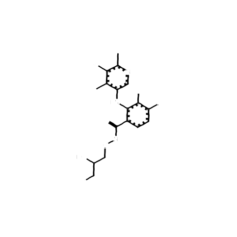 Cc1ncc(Nc2c(C(=O)NOCC(O)CO)ccc(F)c2F)c(C)c1Br